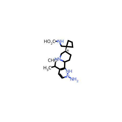 CC(C=O)C1=C(C2CC[C@H](C3(CNC(=O)O)CCC3)CN2)NN(N)C=C1